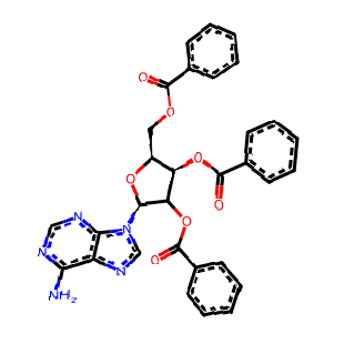 Nc1ncnc2c1ncn2[C@H]1O[C@@H](COC(=O)c2ccccc2)[C@@H](OC(=O)c2ccccc2)C1OC(=O)c1ccccc1